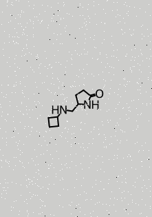 O=C1CCC(CNC2CCC2)N1